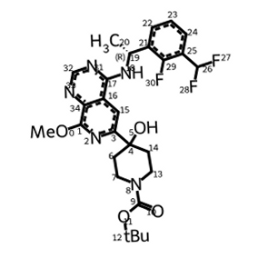 COc1nc(C2(O)CCN(C(=O)OC(C)(C)C)CC2)cc2c(N[C@H](C)c3cccc(C(F)F)c3F)ncnc12